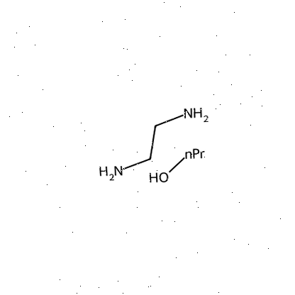 CCCO.NCCN